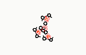 Cc1cccc(C)c1OP(=O)(Oc1cccc(O[Si](Oc2cccc(OP(=O)(Oc3c(C)cccc3C)Oc3c(C)cccc3C)c2)(Oc2cccc(OP(=O)(Oc3c(C)cccc3C)Oc3c(C)cccc3C)c2)c2ccccc2)c1)Oc1c(C)cccc1C